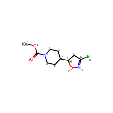 CC(C)(C)OC(=O)N1CCC([C@H]2CC(Br)=NO2)CC1